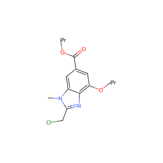 CC(C)OC(=O)c1cc(OC(C)C)c2nc(CCl)n(C)c2c1